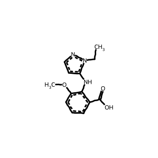 CCn1nccc1Nc1c(OC)cccc1C(=O)O